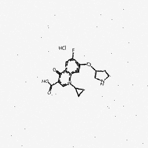 Cl.O=C(O)c1cn(C2CC2)c2cc(OC3CCNC3)c(F)cc2c1=O